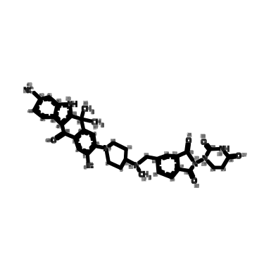 CCc1cc2c(cc1N1CCC(N(C)Cc3ccc4c(c3)C(=O)N(N3CCC(=O)NC3=O)C4=O)CC1)C(C)(C)c1[nH]c3cc(C#N)ccc3c1C2=O